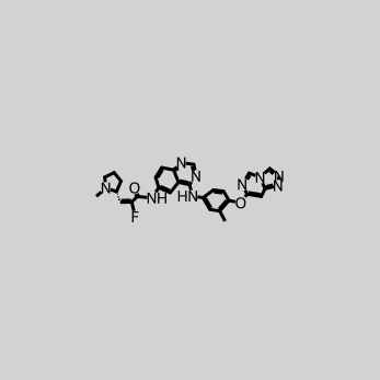 Cc1cc(Nc2ncnc3ccc(NC(=O)/C(F)=C\[C@H]4CCCN4C)cc23)ccc1Oc1cc2nncn2cn1